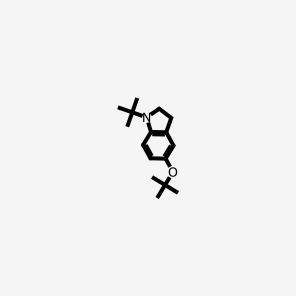 CC(C)(C)Oc1ccc2c(c1)CCN2C(C)(C)C